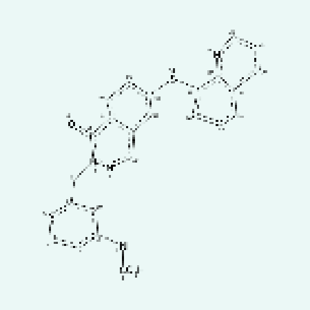 O=C(O)Nc1cccc(Cn2ncc3cc(Sc4cccc5cccnc45)ccc3c2=O)c1